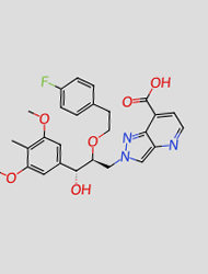 COc1cc([C@@H](O)[C@H](Cn2cc3nccc(C(=O)O)c3n2)OCCc2ccc(F)cc2)cc(OC)c1C